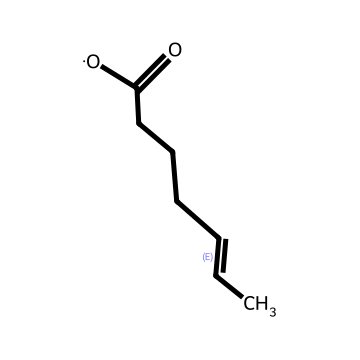 C/C=C/CCCC([O])=O